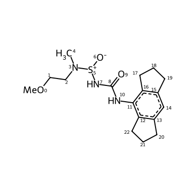 COCCN(C)[S+]([O-])NC(=O)Nc1c2c(cc3c1CCC3)CCC2